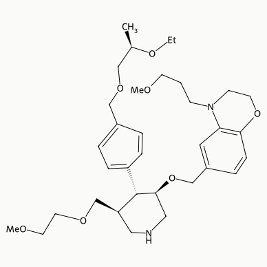 CCO[C@H](C)COCc1ccc([C@H]2[C@H](COCCOC)CNC[C@@H]2OCc2ccc3c(c2)N(CCCOC)CCO3)cc1